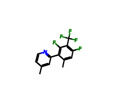 Cc1ccnc(-c2c(C)cc(F)c(C(F)(F)F)c2F)c1